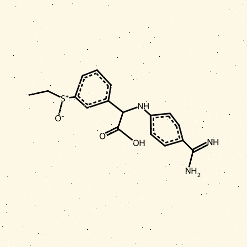 CC[S+]([O-])c1cccc(C(Nc2ccc(C(=N)N)cc2)C(=O)O)c1